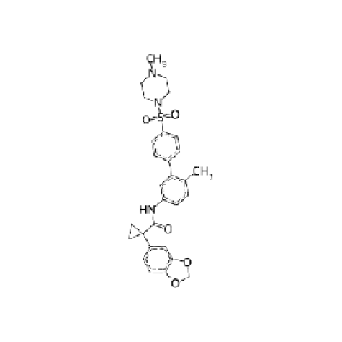 Cc1ccc(NC(=O)C2(c3ccc4c(c3)OCO4)CC2)cc1-c1ccc(S(=O)(=O)N2CCN(C)CC2)cc1